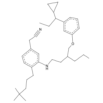 CCCC(CCNc1cc(CC#N)ccc1CCCC(C)(C)C)COc1cccc(C(CC)C2CC2)c1